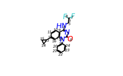 O=c1nc(NCC(F)F)c2ccc(C3CC3)cc2n1-c1ccccc1